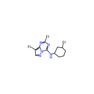 CCc1nc(NC2CCCC(CC)C2)n2ncc(CC)c2n1